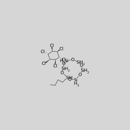 CCCC[SiH]1O[SiH2]O[SiH2]O[SiH2]O[SiH2]O[SiH2]O1.Cl[C@H]1[C@H](Cl)[C@@H](Cl)[C@@H](Cl)[C@H](Cl)[C@H]1Cl